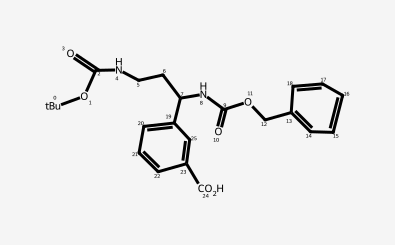 CC(C)(C)OC(=O)NCCC(NC(=O)OCc1ccccc1)c1cccc(C(=O)O)c1